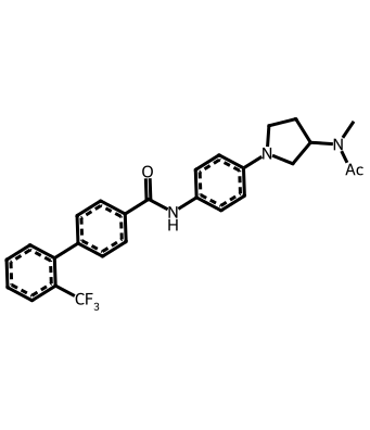 CC(=O)N(C)C1CCN(c2ccc(NC(=O)c3ccc(-c4ccccc4C(F)(F)F)cc3)cc2)C1